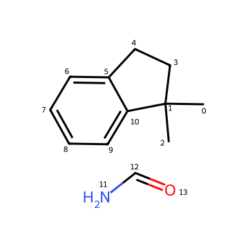 CC1(C)CCc2ccccc21.NC=O